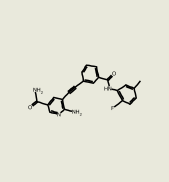 Cc1ccc(F)c(NC(=O)c2cccc(C#Cc3cc(C(N)=O)cnc3N)c2)c1